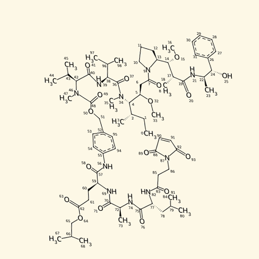 CC[C@H](C)[C@@H]([C@@H](CC(=O)N1CCC[C@H]1[C@H](OC)[C@@H](C)C(=O)N[C@H](C)[C@@H](O)c1ccccc1)OC)N(C)C(=O)[C@@H](NC(=O)[C@H](C(C)C)N(C)C(=O)OCc1ccc(NC(=O)[C@H](CCC(=O)OCC(C)C)NC(=O)[C@H](C)NC(=O)[C@@H](CC(C)C)NC(=O)CCN2C(=O)C=CC2=O)cc1)C(C)C